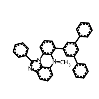 CN1c2c(-c3cc(-c4ccccc4)cc(-c4ccccc4)c3)cccc2-n2c(-c3ccccc3)nc3cccc1c32